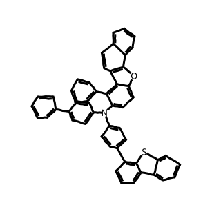 c1ccc(-c2ccc(N(c3ccc(-c4cccc5c4sc4ccccc45)cc3)c3ccc4oc5c6ccccc6ccc5c4c3-c3ccccc3)cc2)cc1